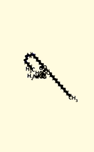 CCCCC/C=C\C/C=C\C/C=C\CCCCCCC(=O)O[C@H](COCCCCCCCCCCCCCCCC)COP(=O)(O)OCCN